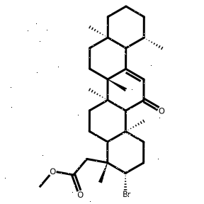 COC(=O)C[C@]1(C)C2CC[C@]3(C)C(C(=O)C=C4C5[C@@H](C)CCC[C@]5(C)CC[C@]43C)[C@@]2(C)CC[C@@H]1Br